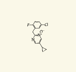 [O-][n+]1cc(C2CC2)cnc1Cc1cc(Cl)ccc1F